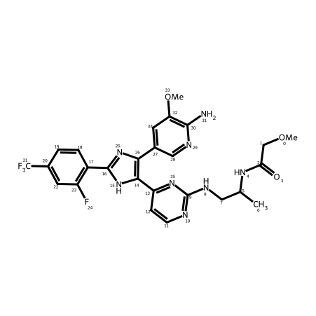 COCC(=O)NC(C)CNc1nccc(-c2[nH]c(-c3ccc(C(F)(F)F)cc3F)nc2-c2cnc(N)c(OC)c2)n1